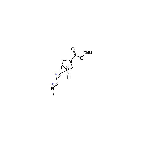 C/N=C/C=C1/C2CN(C(=O)OC(C)(C)C)C[C@@H]12